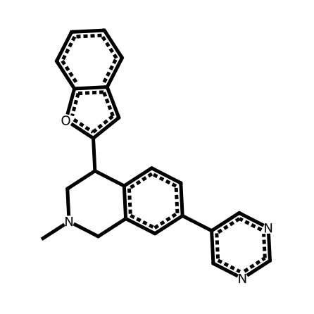 CN1Cc2cc(-c3cncnc3)ccc2C(c2cc3ccccc3o2)C1